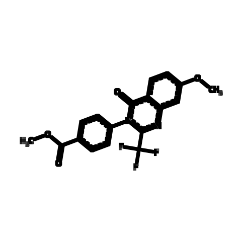 COC(=O)c1ccc(-n2c(C(F)(F)F)nc3cc(OC)ccc3c2=O)cc1